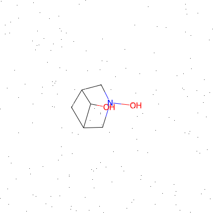 OC1C2CC1CN(O)C2